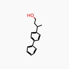 CC(CCO)c1ccc(-c2ccccc2)cc1